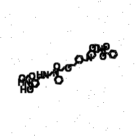 COC(C(=O)N1CCOC2(CCN(Cc3cccc(CCOCCC(=O)N(CCNCCc4ccc(O)c5c4OCC(=O)N5)C4CCCCC4)c3)CC2)C1)c1ccccc1